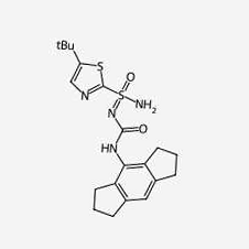 CC(C)(C)c1cnc(S(N)(=O)=NC(=O)Nc2c3c(cc4c2CCC4)CCC3)s1